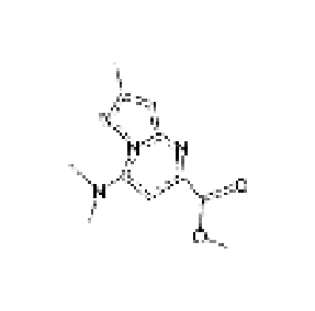 COC(=O)c1cc(N(C)C)n2nc(C)cc2n1